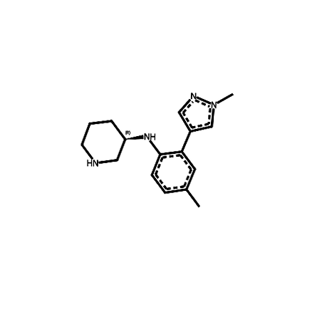 Cc1ccc(N[C@@H]2CCCNC2)c(-c2cnn(C)c2)c1